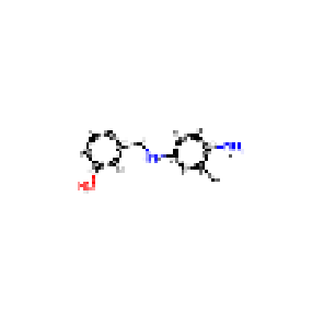 Cc1cc(NCc2cccc(O)c2)ccc1N